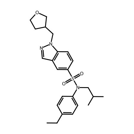 CCc1ccc(N(CC(C)C)S(=O)(=O)c2ccc3c(cnn3CC3CCOC3)c2)cc1